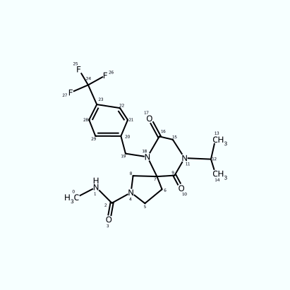 CNC(=O)N1CCC2(C1)C(=O)N(C(C)C)CC(=O)N2Cc1ccc(C(F)(F)F)cc1